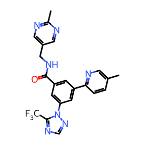 Cc1ccc(-c2cc(C(=O)NCc3cnc(C)nc3)cc(-n3ncnc3C(F)(F)F)c2)nc1